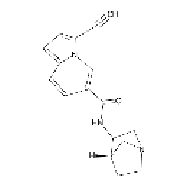 C#Cc1ccc2ccc(C(=O)NC3CN4CC[C@H]3C4)cn12